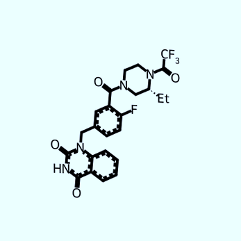 CC[C@@H]1CN(C(=O)c2cc(Cn3c(=O)[nH]c(=O)c4ccccc43)ccc2F)CCN1C(=O)C(F)(F)F